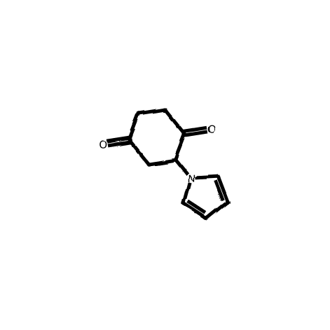 O=C1CCC(=O)C(n2cccc2)C1